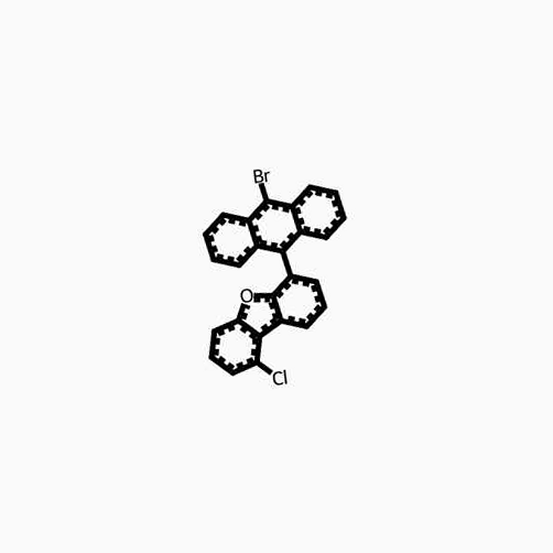 Clc1cccc2oc3c(-c4c5ccccc5c(Br)c5ccccc45)cccc3c12